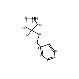 CC1([CH]Cc2ccccc2)CCNC1